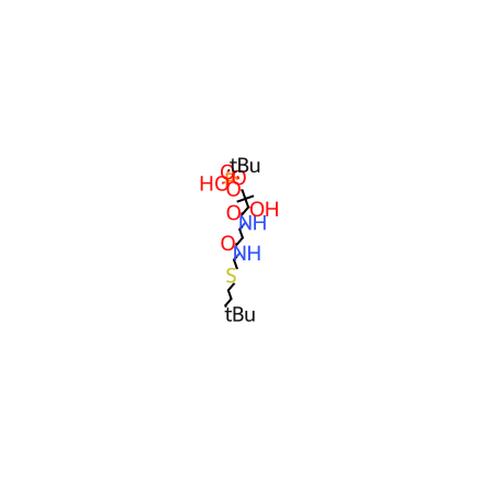 CC(C)(C)CCCCSCCNC(=O)CCNC(=O)C(O)C(C)(C)COP(=O)(O)OC(C)(C)C